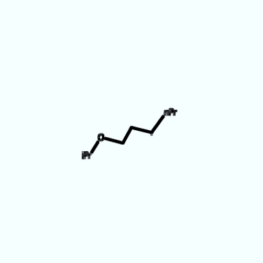 CCC[CH]CCOC(C)C